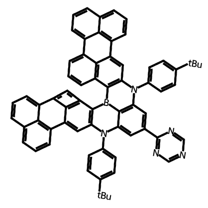 CC(C)(C)c1ccc(N2c3cc(-c4ncncn4)cc4c3B(c3c2cc2c5cccc6cccc(c7cccc3c72)c65)c2c(cc3c5cccc6cccc(c7cccc2c73)c65)N4c2ccc(C(C)(C)C)cc2)cc1